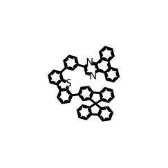 c1cc(-c2cnc3c4ccccc4c4ccccc4c3n2)cc(-c2cccc3c2sc2c(-c4ccc5c(c4)C4(c6ccccc6-c6ccccc64)c4ccccc4-5)cccc23)c1